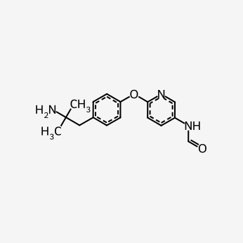 CC(C)(N)Cc1ccc(Oc2ccc(NC=O)cn2)cc1